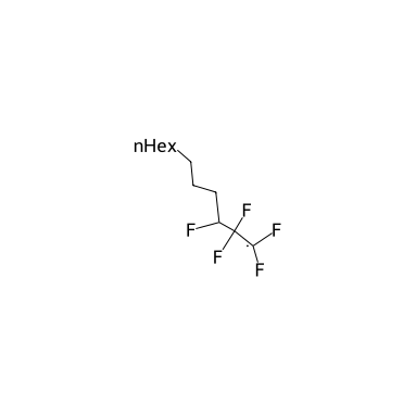 CCCCCCCCCC(F)C(F)(F)[C](F)F